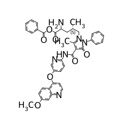 COc1ccc2c(Oc3ccc(NC(=O)c4c(C)n(C[C@@H](C)CC(N)C(=O)OC(=O)c5ccccc5)n(-c5ccccc5)c4=O)nc3)ccnc2c1